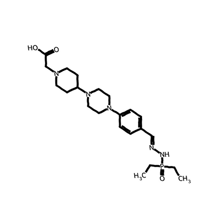 CCP(=O)(CC)NN=Cc1ccc(N2CCN(C3CCN(CC(=O)O)CC3)CC2)cc1